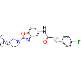 CN(C)[C@@H]1CCN(c2nc3cc(NC(=O)/C=C/c4ccc(F)cc4)ccc3o2)C1